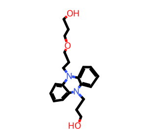 OCCCOCCCN1c2ccccc2N(CCCO)c2ccccc21